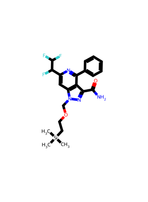 C[Si](C)(C)CCOCn1nc(C(N)=O)c2c(-c3ccccc3)nc(C(F)C(F)F)cc21